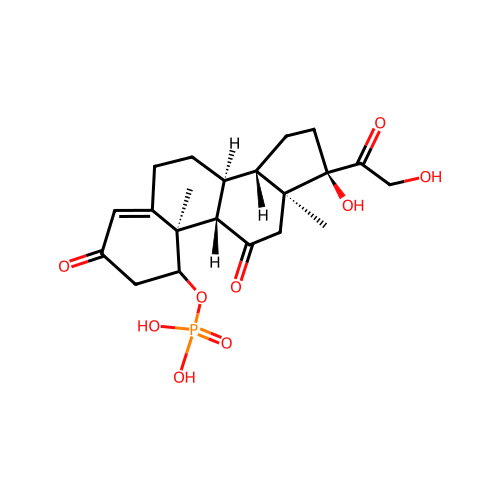 C[C@]12CC(=O)[C@H]3[C@@H](CCC4=CC(=O)CC(OP(=O)(O)O)[C@@]43C)[C@@H]1CC[C@]2(O)C(=O)CO